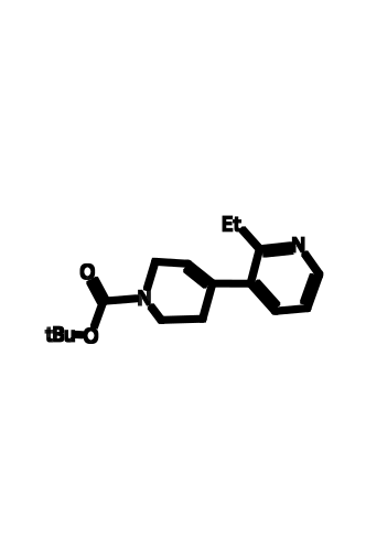 CCc1ncccc1C1=CCN(C(=O)OC(C)(C)C)CC1